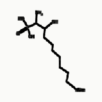 CCCCCCCCCCCCCCCCC(O)C(N)P(=O)(O)O